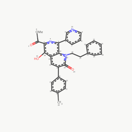 COC(=O)c1nc(-c2cccnc2)c2c(cc(-c3ccc(C(F)(F)F)cc3)c(=O)n2CCc2ccccc2)c1O